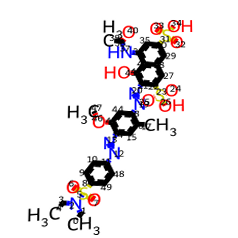 CCN(CC)S(=O)(=O)c1ccc(/N=N/c2cc(C)c(/N=N/c3c(S(=O)(=O)O)cc4cc(S(=O)(=O)O)cc(NC(C)=O)c4c3O)cc2OC)cc1